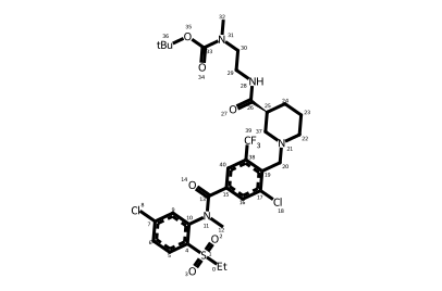 CCS(=O)(=O)c1ccc(Cl)cc1N(C)C(=O)c1cc(Cl)c(CN2CCC[C@H](C(=O)NCCN(C)C(=O)OC(C)(C)C)C2)c(C(F)(F)F)c1